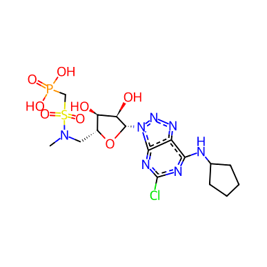 CN(C[C@H]1O[C@@H](n2nnc3c(NC4CCCC4)nc(Cl)nc32)[C@H](O)[C@@H]1O)S(=O)(=O)CP(=O)(O)O